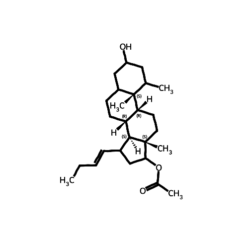 CCC=CC1CC(OC(C)=O)[C@@]2(C)CC[C@@H]3[C@@H](CCC4CC(O)CC(C)[C@@]43C)[C@H]12